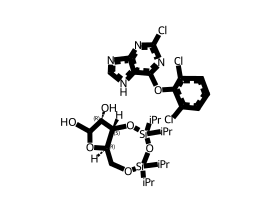 CC(C)[Si]1(C(C)C)OC[C@H]2OC(O)[C@H](O)[C@@H]2O[Si](C(C)C)(C(C)C)O1.Clc1nc(Oc2c(Cl)cccc2Cl)c2[nH]cnc2n1